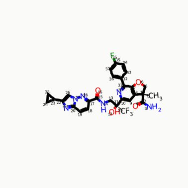 C[C@]1(C(N)=O)COc2c1cc([C@@](O)(CNC(=O)c1ccc3nc(C4CC4)cn3n1)C(F)(F)F)nc2-c1ccc(F)cc1